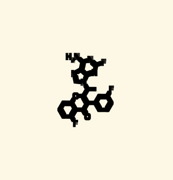 CC(c1oc2cccc(F)c2c(=O)c1-c1cccc(F)c1)n1cnc2c(N)nc(F)nc21